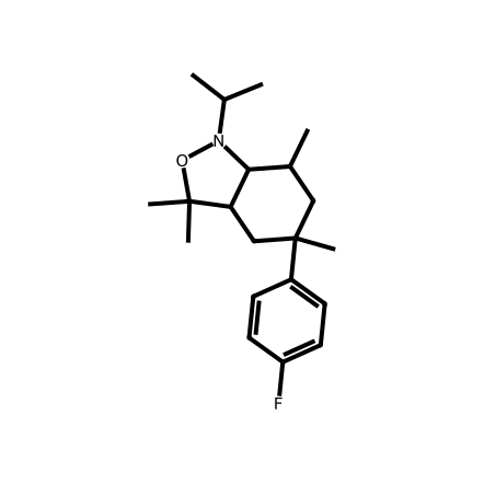 CC1CC(C)(c2ccc(F)cc2)CC2C1N(C(C)C)OC2(C)C